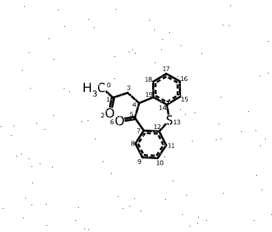 CC(=O)CC1C(=O)c2ccccc2Sc2ccccc21